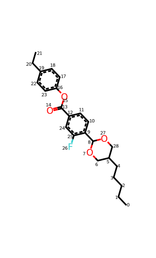 CCCCCC1COC(c2ccc(C(=O)Oc3ccc(CC)cc3)cc2F)OC1